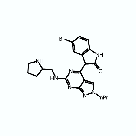 CCCn1cc2c(C3C(=O)Nc4ccc(Br)cc43)nc(NCC3CCCN3)nc2n1